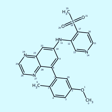 COc1ccc(C)c(-c2cc(Nc3cnccc3S(C)(=O)=O)cc3nccnc23)c1